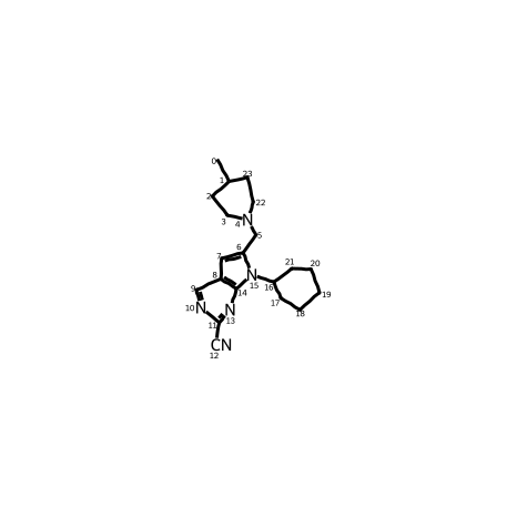 CC1CCN(Cc2cc3cnc(C#N)nc3n2C2CCCCC2)CC1